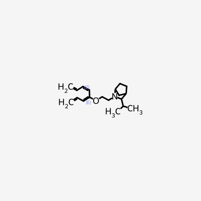 C=C/C=C\C(=C/C=C)OCCN1C2CCC(C2)C1C(C)C